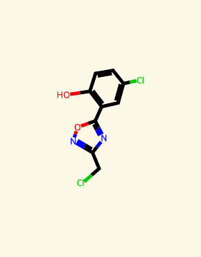 Oc1ccc(Cl)cc1-c1nc(CCl)no1